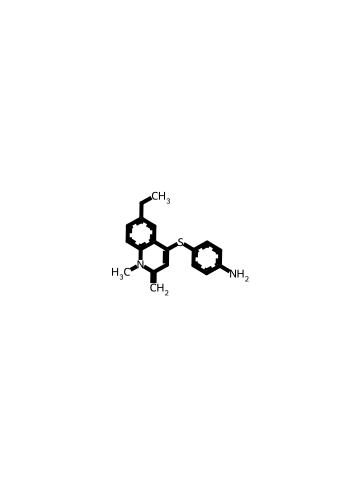 C=C1C=C(Sc2ccc(N)cc2)c2cc(CC)ccc2N1C